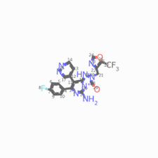 Nc1nc(-c2ccc(F)cc2)c(-c2ccnnc2)c2[nH]n(Cc3ncoc3C(F)(F)F)c(=O)[n+]12